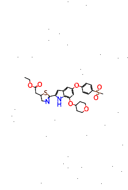 CCOC(=O)CC1CN=C(c2cc3cc(Oc4ccc(S(C)(=O)=O)cc4)cc(OC4CCOCC4)c3[nH]2)S1